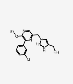 CCOc1ncc(CN2C=C(CO)NN2)nc1-c1cccc(Cl)c1